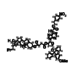 COc1ccc(C(OC[C@@H]2C[C@@H](OC(=O)CCC(=O)OC3CC[C@@]4(C)C(=CCC5C4CC[C@@]4(C)C5CC[C@@H]4[C@H](C)CCCC(C)C)C3)[C@H](n3cnc4c(NC(=O)OCCc5ccc([N+](=O)[O-])cc5)ncnc43)O2)(c2ccccc2)c2ccccc2)cc1